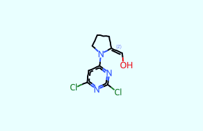 O/C=C1/CCCN1c1cc(Cl)nc(Cl)n1